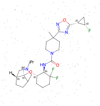 CC(C)N1CC2CC[C@H](C1)[C@H]2O[C@H]1CCCC(F)(F)[C@@H]1NC(=O)N1CCC(C)(c2noc([C@@H]3C[C@@H]3F)n2)CC1